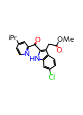 COC(=O)Cc1c(C(=O)c2cc(C(C)C)ccn2)[nH]c2cc(Cl)ccc12